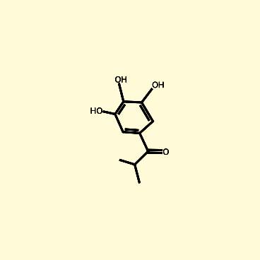 CC(C)C(=O)c1cc(O)c(O)c(O)c1